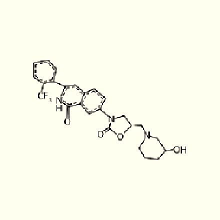 O=C1O[C@H](CN2CCC[C@H](O)C2)CN1c1ccc2cc(-c3ccccc3C(F)(F)F)[nH]c(=O)c2c1